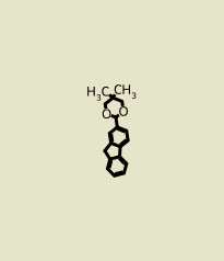 CC1(C)COC(c2ccc3c(c2)Cc2ccccc2-3)OC1